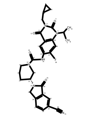 CC(C)n1c(=O)n(CC2CC2)c(=O)c2cc(NC(=O)N3CCC[C@@H](N4Cc5ccc(C#N)cc5C4=O)C3)c(F)cc21